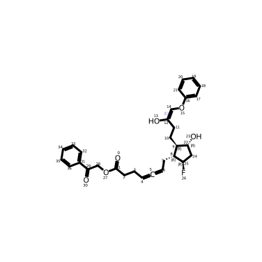 O=C(CCC=C=CC[C@@H]1[C@@H](CC/C(O)=C\Oc2ccccc2)[C@H](O)C[C@H]1F)OCC(=O)c1ccccc1